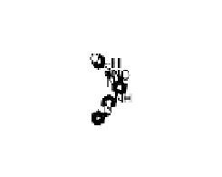 O=c1[nH]c(CSC2CCOCC2)nc2cc(NC3CCCN(Cc4ccccc4)C3)ccc12